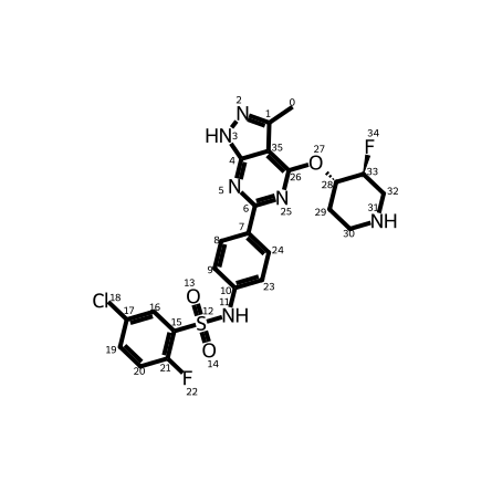 Cc1n[nH]c2nc(-c3ccc(NS(=O)(=O)c4cc(Cl)ccc4F)cc3)nc(O[C@H]3CCNC[C@@H]3F)c12